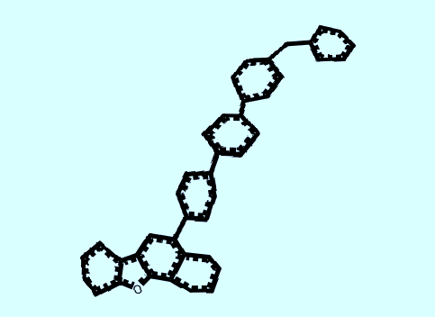 c1ccc(Cc2ccc(-c3ccc(-c4ccc(-c5cc6c7ccccc7oc6c6ccccc56)cc4)cc3)cc2)cc1